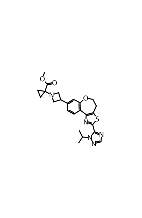 COC(=O)C1(N2CC(c3ccc4c(c3)OCCc3sc(-c5ncnn5C(C)C)nc3-4)C2)CC1